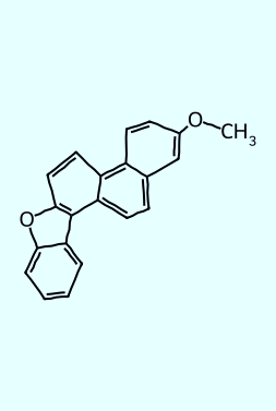 COc1ccc2c(ccc3c2ccc2oc4ccccc4c23)c1